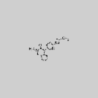 CC1CN(c2ccc(N3C(=O)N(C)Cc4ccccc43)cn2)C1